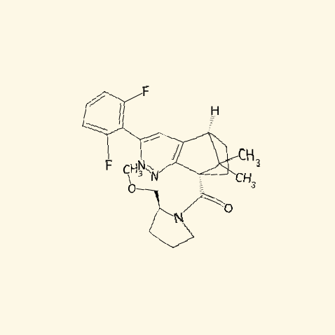 COC[C@@H]1CCCN1C(=O)[C@]12CC[C@H](c3cc(-c4c(F)cccc4F)nnc31)C2(C)C